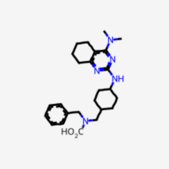 CN(C)c1nc(NC2CCC(CN(Cc3ccccc3)C(=O)O)CC2)nc2c1CCCC2